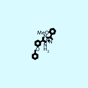 COc1ccccc1-c1cnn2c(N)c(-c3cccc(OCc4ccccc4)c3)cnc12